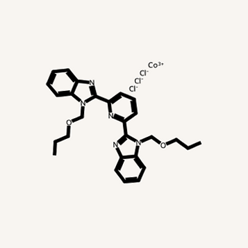 CCCOCn1c(-c2cccc(-c3nc4ccccc4n3COCCC)n2)nc2ccccc21.[Cl-].[Cl-].[Cl-].[Co+3]